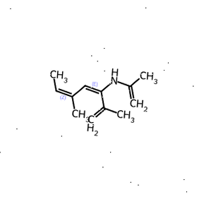 C=C(C)N/C(=C/C(C)=C\C)C(=C)C